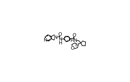 O=C(NCC1(N2CCOCC2)CCCC1)c1ccc(NC(=O)N2Cc3ccncc3C2)cc1